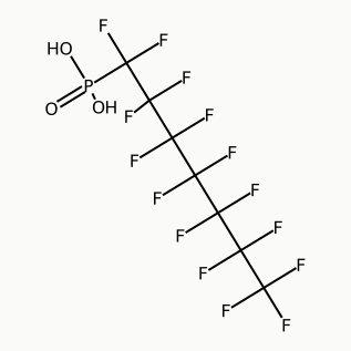 O=P(O)(O)C(F)(F)C(F)(F)C(F)(F)C(F)(F)C(F)(F)C(F)(F)C(F)(F)F